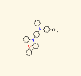 Cc1ccc(N(c2ccccc2)c2ccc(N(c3ccccc3)c3cccc4c3oc3ccccc34)cc2)cc1